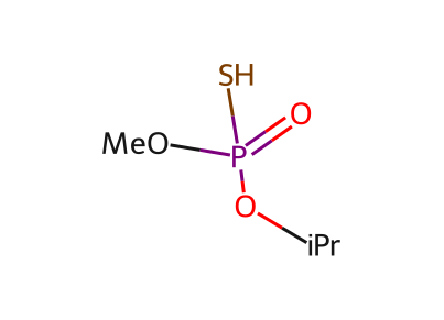 COP(=O)(S)OC(C)C